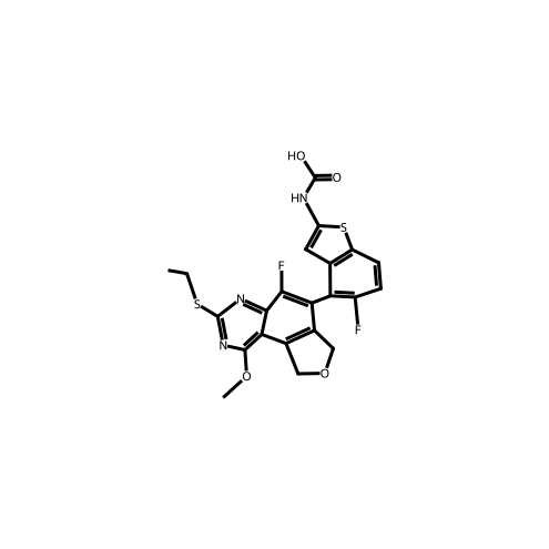 CCSc1nc(OC)c2c3c(c(-c4c(F)ccc5sc(NC(=O)O)cc45)c(F)c2n1)COC3